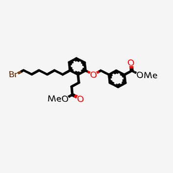 COC(=O)CCc1c(CCCCCCBr)cccc1OCc1cccc(C(=O)OC)c1